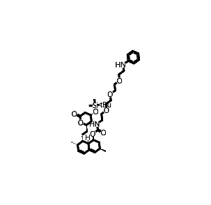 C[C@H]1C=C2C=C[C@H](C)[C@H](CC[C@@H]3C[C@@H](O[Si](C)(C)C(C)(C)C)CC(=O)O3)[C@H]2[C@@H](OC(=O)NCCOCCOCCOCCNc2ccccc2)C1